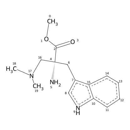 COC(=O)[C@@](N)(Cc1c[nH]c2ccccc12)CN(C)C